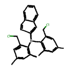 Cc1cc(C)c(B(c2[c]c3ccccc3cc2)c2c(C)cc(C)cc2CCl)c(CCl)c1